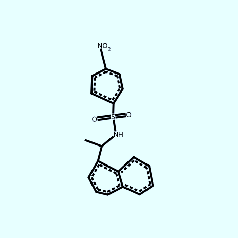 CC(NS(=O)(=O)c1ccc([N+](=O)[O-])cc1)c1cccc2ccccc12